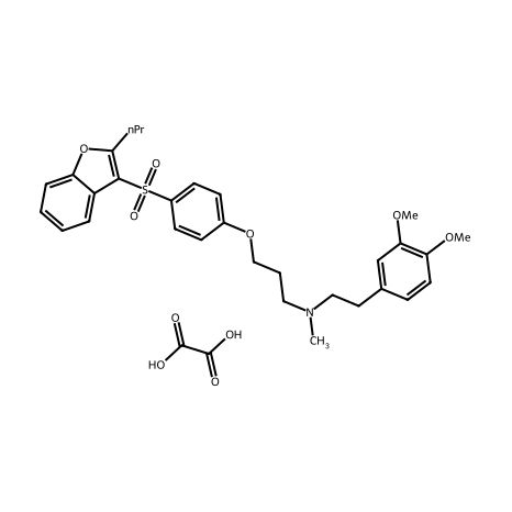 CCCc1oc2ccccc2c1S(=O)(=O)c1ccc(OCCCN(C)CCc2ccc(OC)c(OC)c2)cc1.O=C(O)C(=O)O